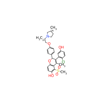 CC1=C(c2cc(O)ccc2Cl)C(c2ccc(OC[C@H](C)N3CC[C@@H](C)C3)cc2)Oc2ccc(O)c(S(C)(=O)=O)c21